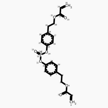 C=CC(=O)OCCc1ccc(O[PH](=O)Oc2ccc(CCOC(=O)C=C)cc2)cc1